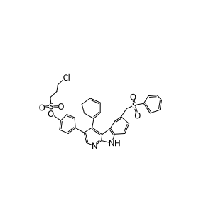 O=S(=O)(CCCCl)Oc1ccc(-c2cnc3[nH]c4ccc(CS(=O)(=O)c5ccccc5)cc4c3c2C2=CC=CCC2)cc1